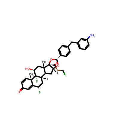 C[C@]12C=CC(=O)C=C1[C@@H](F)C[C@H]1C3C[C@H]4O[C@@H](c5ccc(Cc6cccc(N)c6)cc5)O[C@@]4(C(=O)SCF)[C@@]3(C)C[C@H](O)[C@@]12F